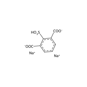 O=C([O-])c1cccc(C(=O)[O-])c1S(=O)(=O)O.[Na+].[Na+]